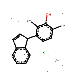 CC(C)c1ccc(C2C=Cc3ccccc32)c(C(C)C)c1O.[Cl-].[Cl-].[Ti+2]